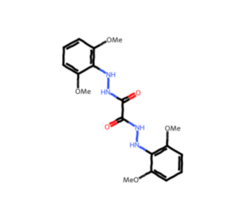 COc1cccc(OC)c1NNC(=O)C(=O)NNc1c(OC)cccc1OC